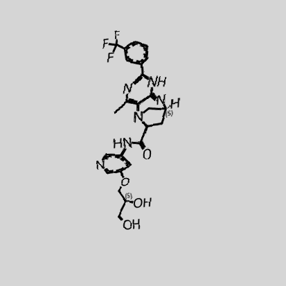 CC1=C2C(=N[C@H]3CC(C(=O)Nc4cncc(OC[C@@H](O)CO)c4)N2C3)NC(c2cccc(C(F)(F)F)c2)=N1